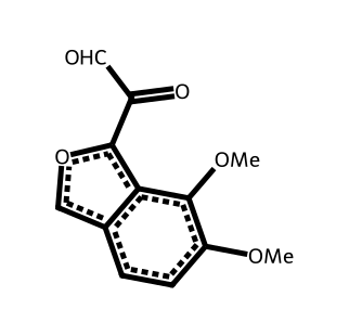 COc1ccc2coc(C(=O)C=O)c2c1OC